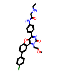 CCNCC(=O)Nc1ccc(-c2nc(=O)n(CCOC)c3c2oc2ccc(-c4ccc(F)cc4)cc23)cc1